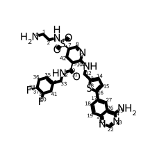 NCCNS(=O)(=O)[C@H]1C=NC(NCc2ccc(-c3ccc4ncnc(N)c4c3)s2)[C@@H](C(=O)NCC2=CC[C@H](F)C(F)C2)C1